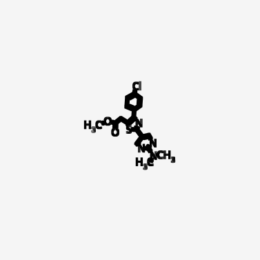 COC(=O)Cc1sc(-c2cnc(N(C)C)nc2)nc1-c1ccc(Cl)cc1